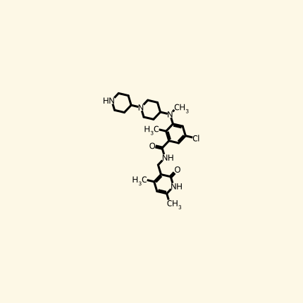 Cc1cc(C)c(CNC(=O)c2cc(Cl)cc(N(C)C3CCN(C4CCNCC4)CC3)c2C)c(=O)[nH]1